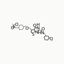 COc1cccc(CNC(=O)c2nc3scc(COCC4CCC(CS(C)(=O)=O)CC4)c3c(=O)[nH]2)c1